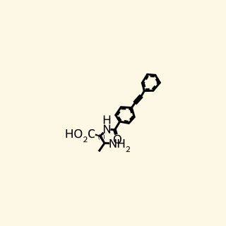 CC(N)[C@H](NC(=O)c1ccc(C#Cc2ccccc2)cc1)C(=O)O